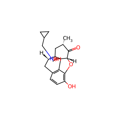 C[C@H]1CC2(O)[C@H]3Cc4ccc(O)c5c4[C@@]2(CCN3CC2CC2)[C@@H](O5)C1=O